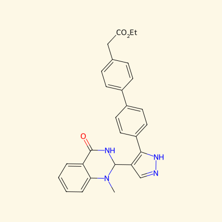 CCOC(=O)Cc1ccc(-c2ccc(-c3[nH]ncc3C3NC(=O)c4ccccc4N3C)cc2)cc1